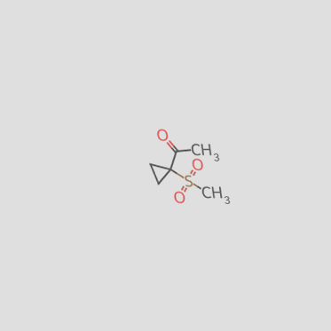 CC(=O)C1(S(C)(=O)=O)CC1